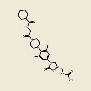 O=C(O)NC[C@H]1CN(c2cc(F)c(N3CCN(C(=O)CNC(=O)C4CCCCC4)CC3)c(F)c2)C(=O)O1